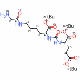 CC(C)(C)OC(=O)CC[C@H](NC(=O)NC(CCCCNC(=O)CN)C(=O)OC(C)(C)C)C(=O)OC(C)(C)C